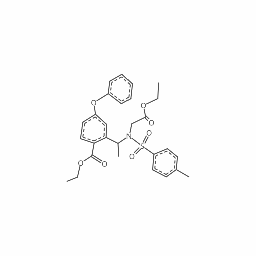 CCOC(=O)CN(C(C)c1cc(Oc2ccccc2)ccc1C(=O)OCC)S(=O)(=O)c1ccc(C)cc1